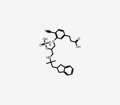 CC(C)(CC1Cc2ccccc2C1)NCC(COc1cc(CCC(=O)O)ccc1C#N)OP(=O)(O)O